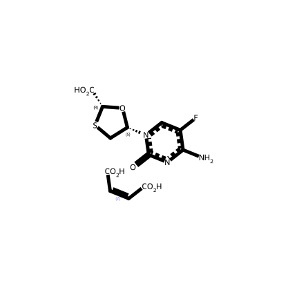 Nc1nc(=O)n([C@@H]2CS[C@H](C(=O)O)O2)cc1F.O=C(O)/C=C\C(=O)O